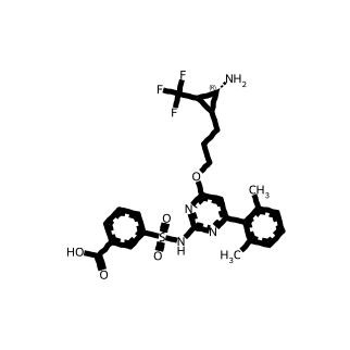 Cc1cccc(C)c1-c1cc(OCCCC2C(C(F)(F)F)[C@@H]2N)nc(NS(=O)(=O)c2cccc(C(=O)O)c2)n1